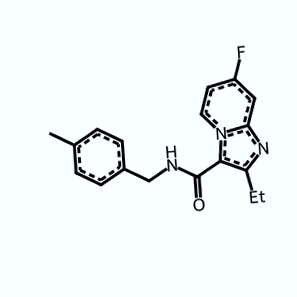 CCc1nc2cc(F)ccn2c1C(=O)NCc1ccc(C)cc1